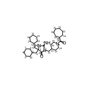 N=C1NC(CC2CCCCC2)(CC2CCCCC2)C(=O)N1CC1CCN(C(=O)C2CCCCCC2)CC1